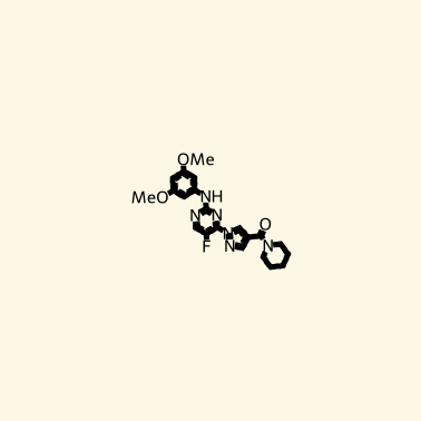 COc1cc(Nc2ncc(F)c(-n3cc(C(=O)N4CCCCC4)cn3)n2)cc(OC)c1